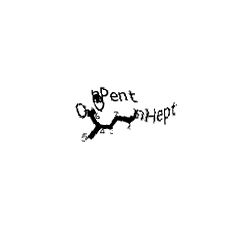 CCCCCCCCCCC(C)C(=O)OCCCCC